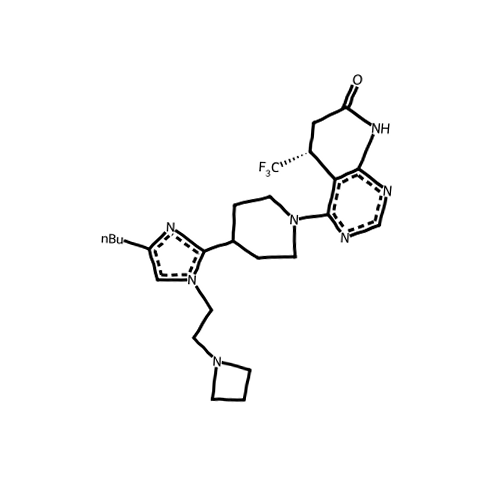 CCCCc1cn(CCN2CCC2)c(C2CCN(c3ncnc4c3[C@H](C(F)(F)F)CC(=O)N4)CC2)n1